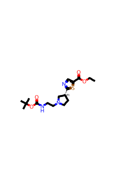 CCOC(=O)c1cnc([C@@H]2CCN(CCNC(=O)OC(C)(C)C)C2)s1